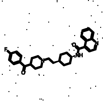 O=C(N[C@H]1CC[C@H](CCN2CCC(C(=O)c3ccc(F)cc3)CC2)CC1)c1ccnc2ccccc12